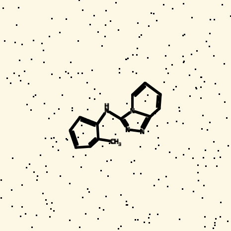 Cc1ccccc1Nc1nnc2ccccn12